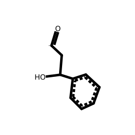 O=[C]CC(O)c1ccccc1